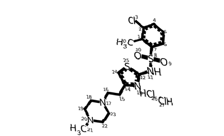 Cc1c(Cl)cccc1S(=O)(=O)Nc1nc(CCN2CCN(C)CC2)cs1.Cl.Cl